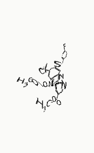 CCOC(=O)c1cnn(-c2nc3cc(SCc4ccc(F)cc4)c(Cl)cc3n2COCCOC)c1